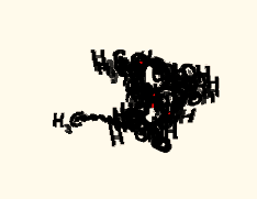 CCCCCCCCNCCNCc1c(O)cc2c(c1O)-c1cc(ccc1O)[C@H]1NC(=O)[C@@H]3NC(=O)[C@H](CC(N)=O)NC(=O)[C@H](NC(=O)[C@@H](CC(C)C)NC)[C@H](O)c4ccc(c(C)c4)Oc4cc3cc(c4O[C@@H]3O[C@H](CO)[C@@H](O)[C@H](O)[C@H]3O)Oc3ccc(cc3Cl)[C@@H](O)[C@H](NC1=O)C(=O)N[C@@H]2C(=O)NC1CCC2CCCC1C2